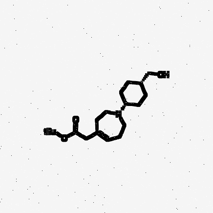 CC(C)(C)OC(=O)CC1=CCCN([C@H]2CC[C@@H](CO)CC2)CC1